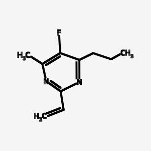 C=Cc1nc(C)c(F)c(CCC)n1